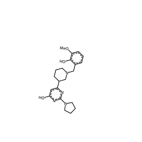 COc1cccc(CN2CCCC(c3cc(O)nc(N4CCCC4)n3)C2)c1O